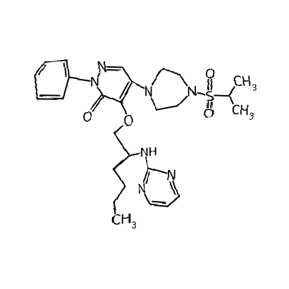 CCCCC(COc1c(N2CCN(S(=O)(=O)C(C)C)CC2)cnn(-c2ccccc2)c1=O)Nc1ncccn1